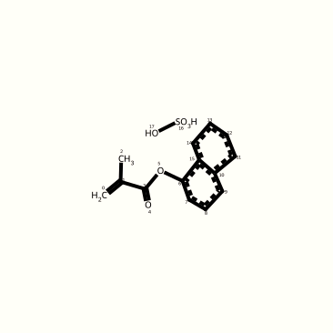 C=C(C)C(=O)Oc1cccc2ccccc12.O=S(=O)(O)O